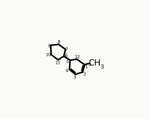 CC1=CC=CC(C2CCCCC2)C1